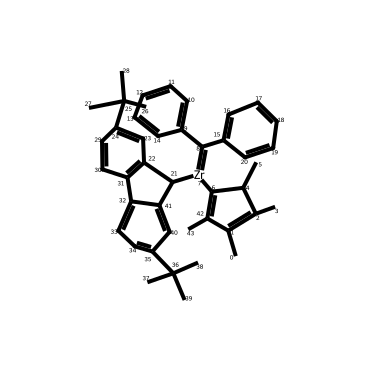 CC1=C(C)C(C)[C]([Zr](=[C](c2ccccc2)c2ccccc2)[CH]2c3cc(C(C)(C)C)ccc3-c3ccc(C(C)(C)C)cc32)=C1C